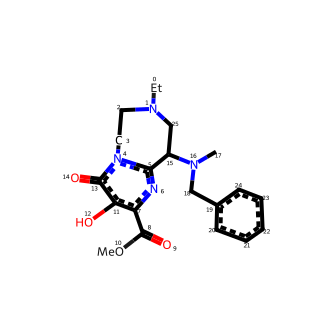 CCN1CCn2c(nc(C(=O)OC)c(O)c2=O)C(N(C)Cc2ccccc2)C1